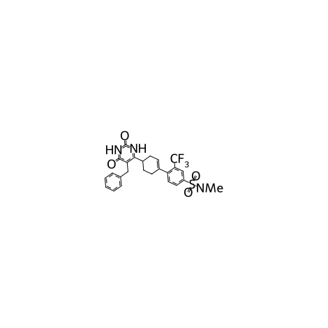 CNS(=O)(=O)c1ccc(C2=CCC(c3[nH]c(=O)[nH]c(=O)c3Cc3ccccc3)CC2)c(C(F)(F)F)c1